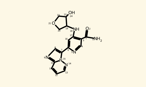 NC(=O)c1cnc(-c2cnc3cccnn23)cc1NC1COCC1O